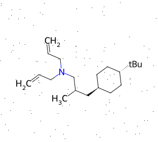 C=CCN(CC=C)CC(C)C[C@H]1CC[C@H](C(C)(C)C)CC1